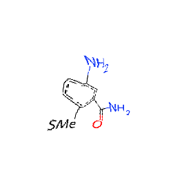 CSc1ccc(N)cc1C(N)=O